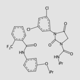 CC(C)NC(=O)N1CC(=O)N(c2cc(Cl)cc(Cl)c2)C1=O.CC(C)Oc1cccc(NC(=O)c2ccccc2C(F)(F)F)c1